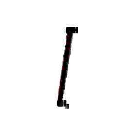 CCCCCCCCCCCCCCCCCCCCCCCCCCCCCCCCCCCCCCCCCCCCCCCCCCCCCCCCCCCCCCCC(=O)O